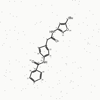 CC(C)(C)c1cc(NC(=O)Cc2ccc(NC(=O)c3ccccc3)cc2)no1